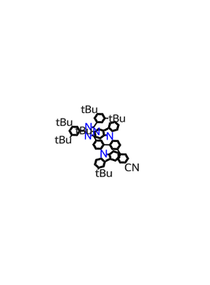 CC(C)(C)c1cc(-c2nc(-c3cc(C(C)(C)C)cc(C(C)(C)C)c3)nc(-c3ccc(-n4c5ccccc5c5cc(C(C)(C)C)ccc54)c(-c4cc(-c5ccc(C#N)cc5)ccc4-n4c5ccccc5c5cc(C(C)(C)C)ccc54)c3)n2)cc(C(C)(C)C)c1